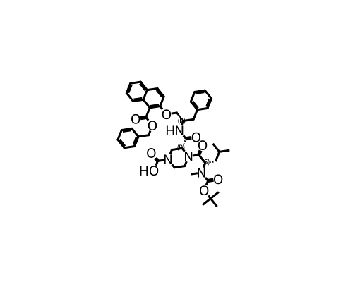 CC(C)C[C@@H](C(=O)N1CCN(C(=O)O)C[C@@H]1C(=O)N[C@@H](COc1ccc2ccccc2c1C(=O)OCc1ccccc1)Cc1ccccc1)N(C)C(=O)OC(C)(C)C